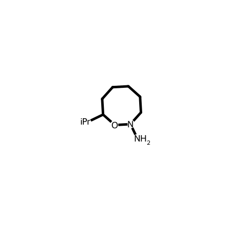 CC(C)C1CCCCCN(N)O1